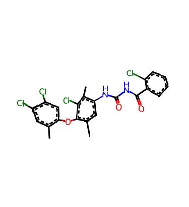 Cc1cc(Cl)c(Cl)cc1Oc1c(C)cc(NC(=O)NC(=O)c2ccccc2Cl)c(C)c1Cl